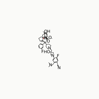 COC(=O)N[C@H]1CCC[C@@H]1[C@](CN1CCC(C)(O)CC1)(c1cccc(F)c1)C1CCN(CC2(O)CN(c3cc(CN(C)C)c(C#N)cc3F)C2)CC1